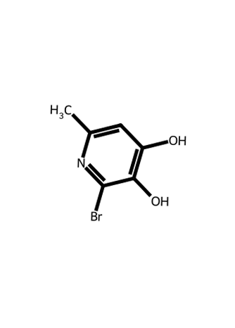 Cc1cc(O)c(O)c(Br)n1